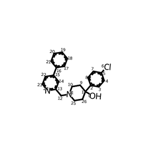 OC1(c2ccc(Cl)cc2)CCN(Cc2cc(-c3ccccc3)ccn2)CC1